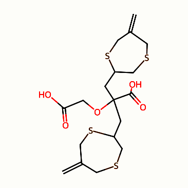 C=C1CSCC(CC(CC2CSCC(=C)CS2)(OCC(=O)O)C(=O)O)SC1